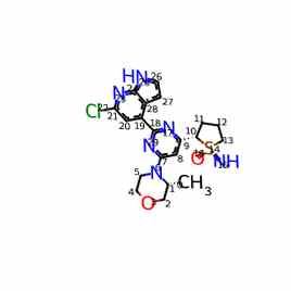 C[C@@H]1COCCN1c1cc([C@@H]2CCCS2(=N)=O)nc(-c2cc(Cl)nc3[nH]ccc23)n1